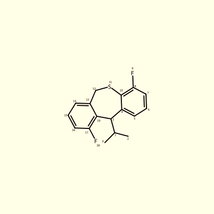 CC(C)C1c2cccc(F)c2SCc2cccc(F)c21